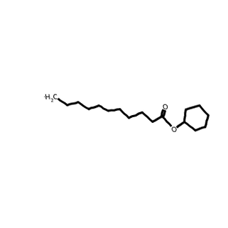 [CH2]CCCCCCCCCC(=O)OC1CCCCC1